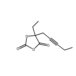 CCC#CCC1(CC)OC(=O)OC1=O